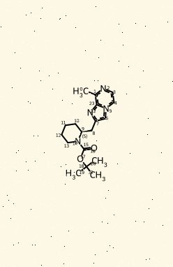 Cc1nccn2cc(C[C@@H]3CCCCN3C(=O)OC(C)(C)C)nc12